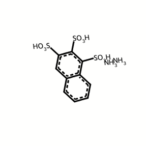 N.N.O=S(=O)(O)c1cc2ccccc2c(S(=O)(=O)O)c1S(=O)(=O)O